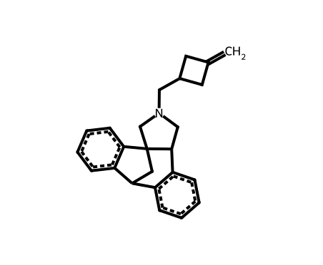 C=C1CC(CN2CC3c4ccccc4C4CC3(C2)c2ccccc24)C1